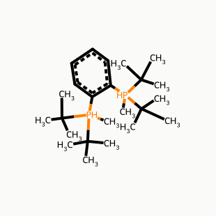 CC(C)(C)[PH](C)(c1ccccc1[PH](C)(C(C)(C)C)C(C)(C)C)C(C)(C)C